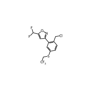 FC(F)c1cc(-c2cc(SCC(F)(F)F)ccc2CCl)no1